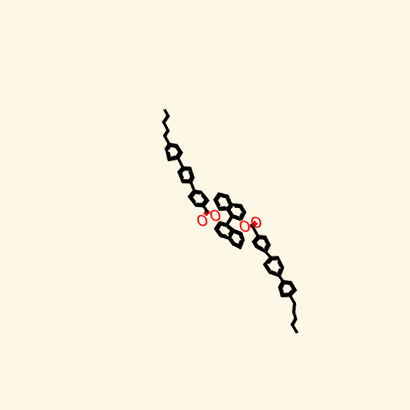 CCCCCc1ccc(-c2ccc(-c3ccc(C(=O)Oc4ccc5ccccc5c4-c4c(OC(=O)c5ccc(-c6ccc(-c7ccc(CCCCC)cc7)cc6)cc5)ccc5ccccc45)cc3)cc2)cc1